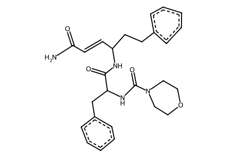 NC(=O)/C=C/C(CCc1ccccc1)NC(=O)C(Cc1ccccc1)NC(=O)N1CCOCC1